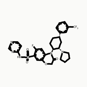 O=C1COc2cc(S(=O)(=O)Nc3ccncn3)c(F)cc2N1[C@H]1CC[C@H](c2cccc(C(F)(F)F)c2)C[C@@H]1N1CCCC1